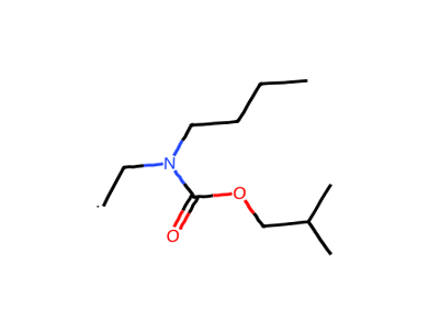 [CH2]CN(CCCC)C(=O)OCC(C)C